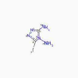 Nc1nnc(I)n1N